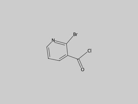 O=C(Cl)c1cccnc1Br